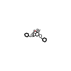 CC1(Br)CC(OCc2ccccc2)CC(COCc2ccccc2)C1(F)F